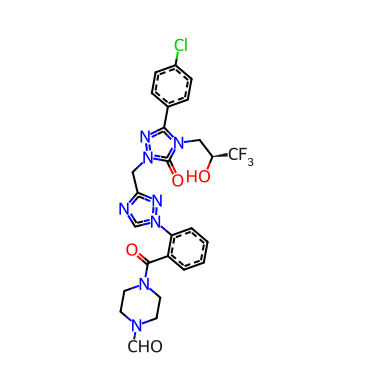 O=CN1CCN(C(=O)c2ccccc2-n2cnc(Cn3nc(-c4ccc(Cl)cc4)n(C[C@H](O)C(F)(F)F)c3=O)n2)CC1